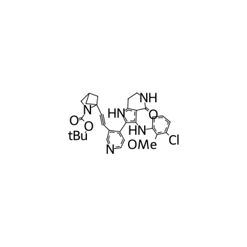 COc1c(Cl)cccc1Nc1c(-c2ccncc2C#CC23CC(CN2C(=O)OC(C)(C)C)C3)[nH]c2c1C(=O)NCC2